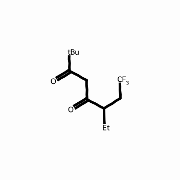 CCC(CC(F)(F)F)C(=O)CC(=O)C(C)(C)C